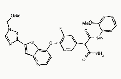 COCn1cnc(-c2cc3nccc(Oc4ccc(C(C(N)=O)C(=O)Nc5ccccc5OC)cc4F)c3s2)c1